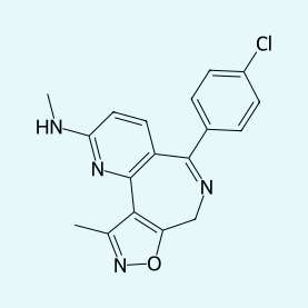 CNc1ccc2c(n1)-c1c(C)noc1CN=C2c1ccc(Cl)cc1